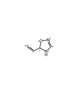 S=CC1NC=NO1